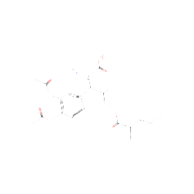 CCCC(C)C(=O)OCC(C)C(c1ccc(OC(C)=O)c(OC(C)=O)c1)[C@H](N)C(=O)O